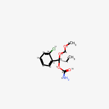 CC[C@](OCOC)(OC(N)=O)c1ccccc1Cl